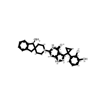 N[C@@H]1c2ccccc2CC12CCN(c1nc3[nH]nc(C4(c5cccc(O)c5Cl)CC4)c3c(=O)[nH]1)CC2